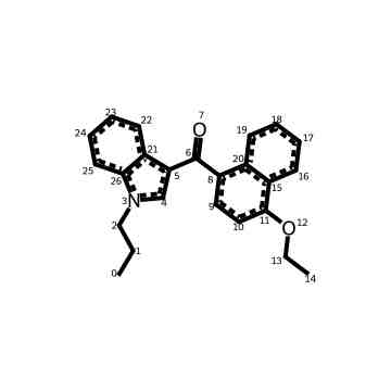 CCCn1cc(C(=O)c2ccc(OCC)c3ccccc23)c2ccccc21